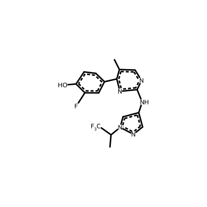 Cc1cnc(Nc2cnn(C(C)C(F)(F)F)c2)nc1-c1ccc(O)c(F)c1